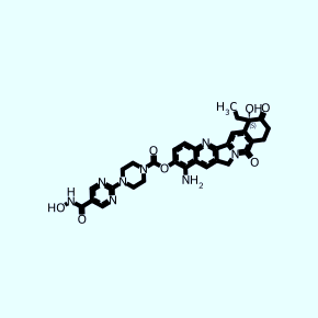 CC[C@@]1(O)C(=O)CCc2c1cc1n(c2=O)Cc2cc3c(N)c(OC(=O)N4CCN(c5ncc(C(=O)NO)cn5)CC4)ccc3nc2-1